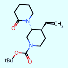 C=C[C@H]1CCN(C(=O)OC(C)(C)C)C[C@@H]1N1CCCCC1=O